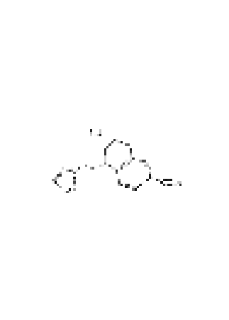 Cl.O=C(O)c1ccc2c(c1)CCCC2CCn1ccnc1